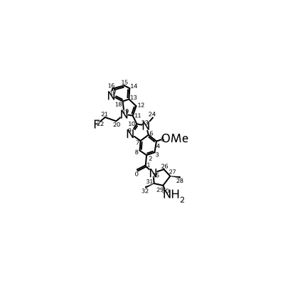 C=C(c1cc(OC)c2c(c1)nc(-c1cc3cccnc3n1CCF)n2C)N1C[C@@H](C)C(N)[C@H]1C